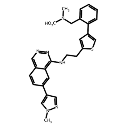 CN(Cc1ccccc1-c1csc(CCNc2nncc3ccc(-c4cnn(C)c4)cc23)c1)C(=O)O